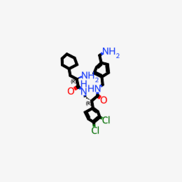 NCc1ccc(CNC(=O)[C@@H](CNC(=O)[C@H](N)CC2CCCCC2)c2ccc(Cl)c(Cl)c2)cc1